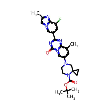 Cc1cn2cc(-c3nc(=O)n4cc(N5CCN(C(=O)OC(C)(C)C)C6(CC6)C5)cc(C)c4n3)cc(F)c2n1